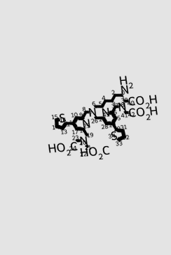 NCCCCCCN(Cc1cc(-c2cccs2)cc(CN(CC(=O)O)CC(=O)O)n1)Cc1cc(-c2cccs2)cc(CN(CC(=O)O)CC(=O)O)n1